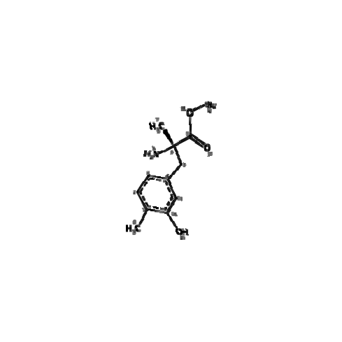 Cc1ccc(C[C@](C)(N)C(=O)OC(C)(C)C)cc1O